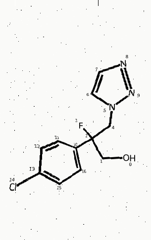 OCC(F)(Cn1ccnn1)c1ccc(Cl)cc1